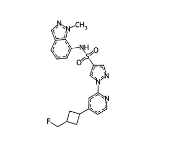 Cn1ncc2cccc(NS(=O)(=O)c3cnn(-c4cc(C5CC(CF)C5)ccn4)c3)c21